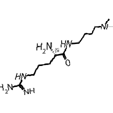 CNCCCCNC(=O)[C@@H](N)CCCNC(=N)N